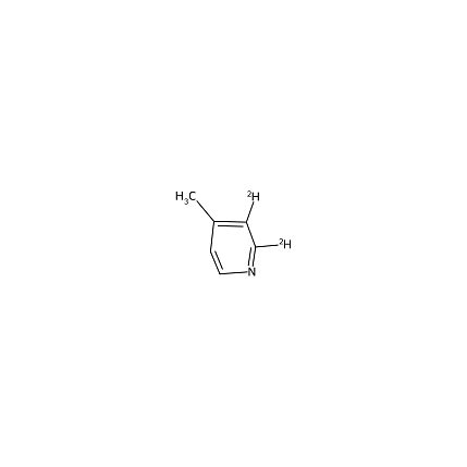 [2H]c1nccc(C)c1[2H]